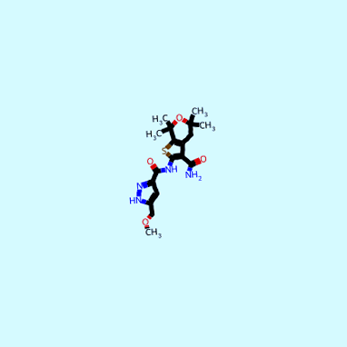 COCc1cc(C(=O)Nc2sc3c(c2C(N)=O)CC(C)(C)OC3(C)C)n[nH]1